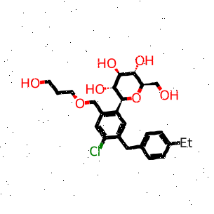 CCc1ccc(Cc2cc([C@@H]3O[C@H](CO)[C@@H](O)[C@H](O)[C@H]3O)c(COCCCO)cc2Cl)cc1